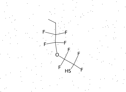 CCC(F)(F)C(F)(F)OC(F)(F)C(F)(F)S